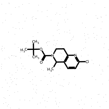 CC1c2ccc(Cl)nc2CCN1C(=O)OC(C)(C)C